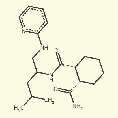 CC(C)CC(CNc1ccccn1)NC(=O)[C@@H]1CCCC[C@@H]1C(N)=O